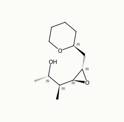 C[C@H]([C@@H]1O[C@H]1C[C@@H]1CCCCO1)[C@H](C)O